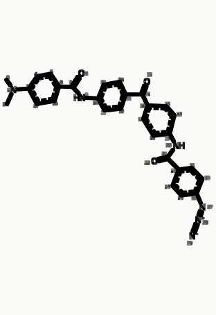 CN(C)c1ccc(C(=O)Nc2ccc(C(=O)c3ccc(NC(=O)c4ccc(N=[N+]=[N-])cc4)cc3)cc2)cc1